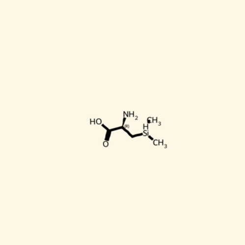 C[SiH](C)C[C@H](N)C(=O)O